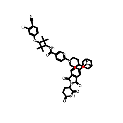 CC1(C)C(NC(=O)c2ccc(N3CCC(CN4C5CC4CN(c4ccc6c(c4)C(=O)N(C4CCC(=O)NC4=O)C6=O)C5)CC3)nc2)C(C)(C)C1Oc1ccc(C#N)c(Cl)c1